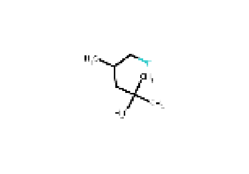 CC(CF)CC(C)(C)C